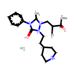 CCC(CN1C(C)N(c2ccccc2)C(=O)N1CCC1CCNCC1)C(=O)OC.Cl